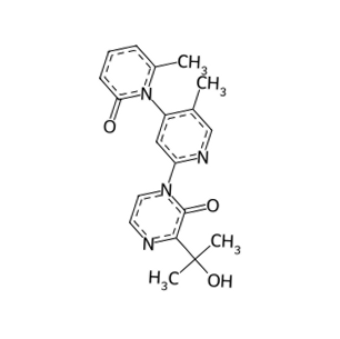 Cc1cnc(-n2ccnc(C(C)(C)O)c2=O)cc1-n1c(C)cccc1=O